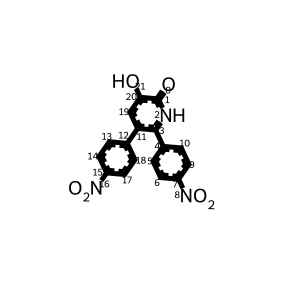 O=c1[nH]c(-c2ccc([N+](=O)[O-])cc2)c(-c2ccc([N+](=O)[O-])cc2)cc1O